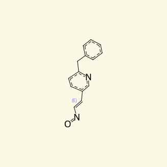 O=N/C=C/c1ccc(Cc2ccccc2)nc1